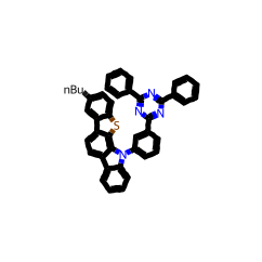 CCCCc1ccc2sc3c(ccc4c5ccccc5n(-c5cccc(-c6nc(-c7ccccc7)nc(-c7ccccc7)n6)c5)c43)c2c1